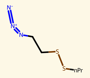 CCCSSCCN=[N+]=[N-]